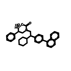 O=C(O)C(=O)N(CC(O)c1ccccc1)CC(c1ccc(-c2cccc3ccccc23)cc1)C1CCCCC1